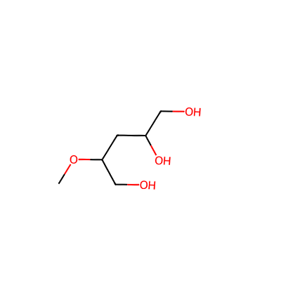 COC(CO)CC(O)CO